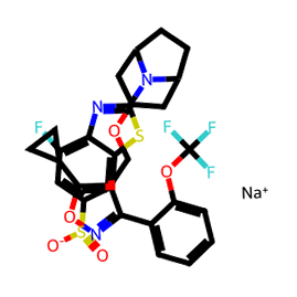 O=S([O-])c1cc(F)c2nc(N3C4CCC3CC(OCc3c(-c5ccccc5OC(F)(F)F)noc3C3CC3)C4)sc2c1.[Na+]